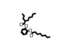 CCCCCCCC(=O)Oc1ccccc1OC(=O)C(CCC)CCCCC